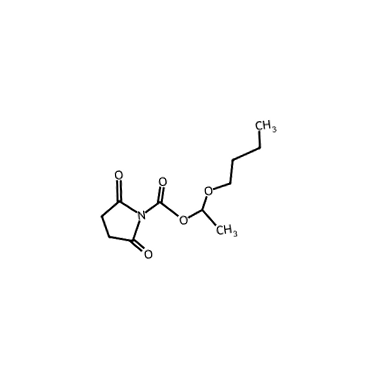 CCCCOC(C)OC(=O)N1C(=O)CCC1=O